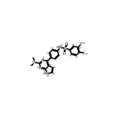 CN(C)c1nc(-c2ccc(NS(=O)(=O)c3ccc(F)c(F)c3)cc2)c2cc[nH]c2n1